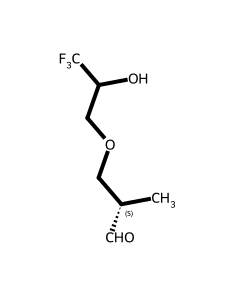 C[C@H](C=O)COCC(O)C(F)(F)F